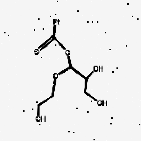 CCC(=O)OC(OCCO)C(O)CO